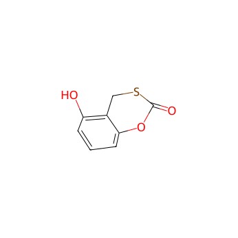 O=C1Oc2cccc(O)c2CS1